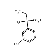 CC(CC(Cl)(Cl)Cl)(C(=O)O)c1cccc(O)c1